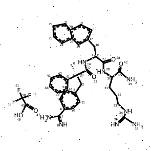 C[C@@](Cc1ccc(C(=N)N)cc1)(C(=O)N[C@@H](Cc1ccc2ccccc2c1)C(=O)NC(CCCNC(=N)N)C(N)=O)c1ccccc1.O=C(O)C(F)(F)F